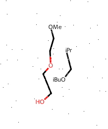 CC(C)COCC(C)C.COCCOCCO